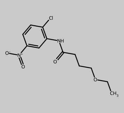 CCOCCCC(=O)Nc1cc([N+](=O)[O-])ccc1Cl